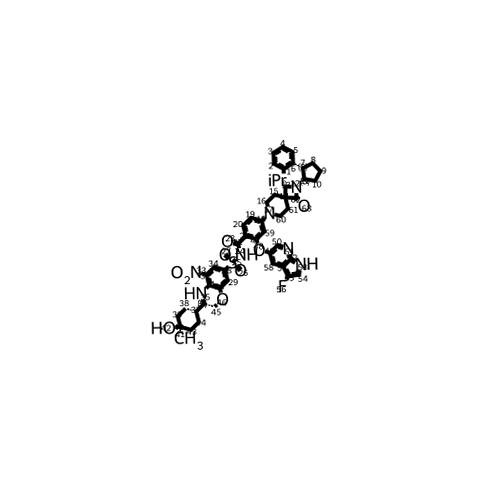 CC(C)c1ccccc1[C@@H]1CCC[C@@H]1N1CC2(CCN(c3ccc(C(=O)NS(=O)(=O)c4cc5c(c([N+](=O)[O-])c4)N[C@@H]([C@H]4CC[C@](C)(O)CC4)CO5)c(Oc4cnc5[nH]cc(F)c5c4)c3)CC2)C1=O